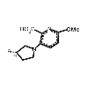 COc1ccc(N2CC[C@H](F)C2)c(C(=O)O)n1